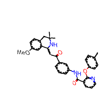 COc1ccc2c(c1)C(=CC(=O)c1cccc(NC(=O)c3cccnc3Oc3ccc(C)cc3)c1)NC(C)(C)C2